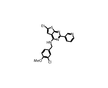 CCc1cc2c(NCc3ccc(OC)c(Cl)c3)nc(-c3cccnc3)nc2s1